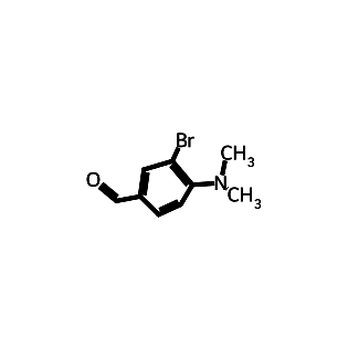 CN(C)c1ccc(C=O)cc1Br